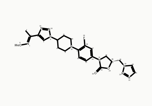 CON=C(C)c1cn(C2CCN(c3ccc(N4C[C@H](Cn5ccnn5)OC4=O)cc3F)CC2)nn1